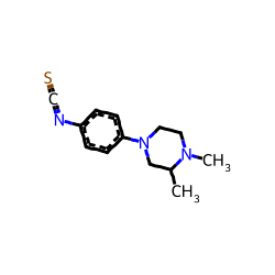 CC1CN(c2ccc(N=C=S)cc2)CCN1C